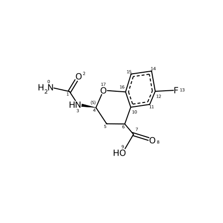 NC(=O)N[C@@H]1CC(C(=O)O)c2cc(F)ccc2O1